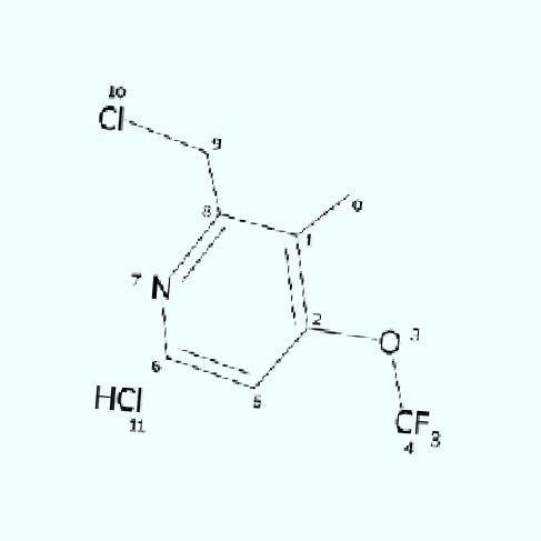 Cc1c(OC(F)(F)F)ccnc1CCl.Cl